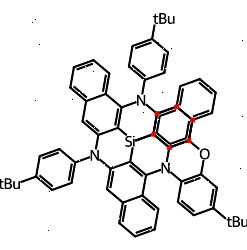 CC(C)(C)c1ccc(N2c3cc4ccccc4c4c3[Si]3(c5ccccc5)c5c2cc2ccccc2c5N(c2ccc(C(C)(C)C)cc2)c2c3c3c(c5ccccc25)Oc2cc(C(C)(C)C)ccc2N34)cc1